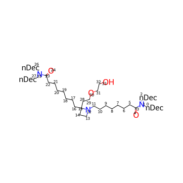 CCCCCCCCCCN(CCCCCCCCCC)C(=O)CCCCCCCN1CCC1(CCCCCCCC(=O)N(CCCCCCCCCC)CCCCCCCCCC)CCOCCO